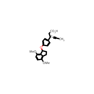 CC#C[C@@H](CC(=O)O)c1ccc(OC2CCc3c(OC)ccc(OC)c32)cc1